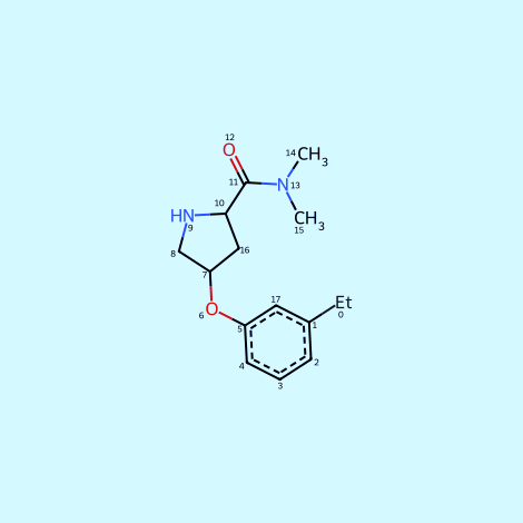 CCc1cccc(OC2CNC(C(=O)N(C)C)C2)c1